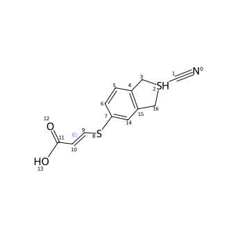 N#C[SH]1Cc2ccc(S/C=C/C(=O)O)cc2C1